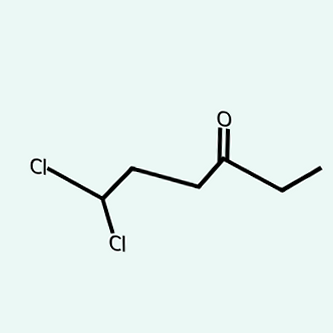 CCC(=O)CCC(Cl)Cl